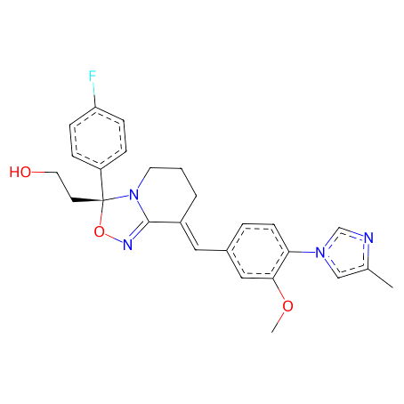 COc1cc(/C=C2\CCCN3C2=NO[C@]3(CCO)c2ccc(F)cc2)ccc1-n1cnc(C)c1